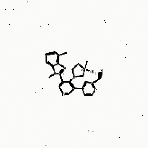 Cc1cccc2c1nc(-c1cncc(-c3ccnc(C#N)c3)c1N1CC[C@](C)(N)C1)n2C